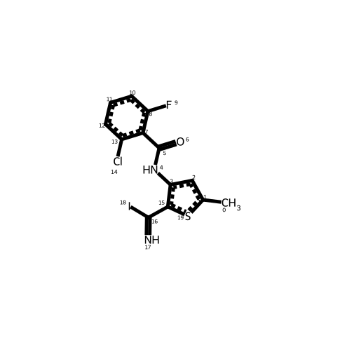 Cc1cc(NC(=O)c2c(F)cccc2Cl)c(C(=N)I)s1